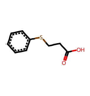 O=C(O)CCSc1cc[c]cc1